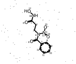 O=C(CCN(C(=O)c1ccccc1)[N+](=O)[O-])NO